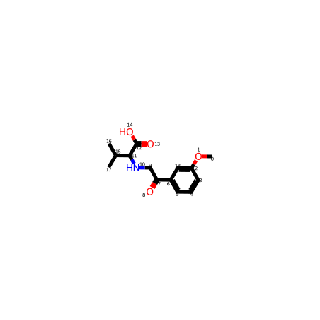 COc1cccc(C(=O)CNC(C(=O)O)C(C)C)c1